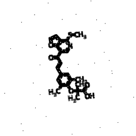 CSc1ncc(C(=O)/C=C/c2cc(C)c(OC(C)(C)C(=O)O)c(C)c2)c2occc12